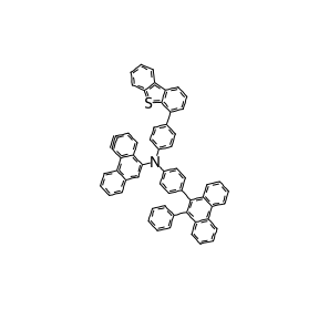 c1ccc2c(N(c3ccc(-c4c(-c5ccccc5)c5ccccc5c5ccccc45)cc3)c3ccc(-c4cccc5c4sc4ccccc45)cc3)cc3ccccc3c2c#1